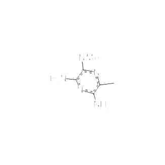 CNc1nc(C)c(N)nc1N